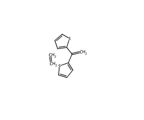 C=C.C=C(c1cccs1)c1cccs1